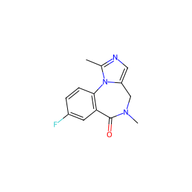 Cc1ncc2n1-c1ccc(F)cc1C(=O)N(C)C2